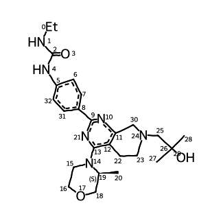 CCNC(=O)Nc1ccc(-c2nc3c(c(N4CCOC[C@@H]4C)n2)CCN(CC(C)(C)O)C3)cc1